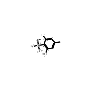 Cc1cc(O)c([Si](C(C)C)(C(C)C)C(C)C)c(F)c1